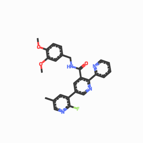 COc1ccc(CNC(=O)c2cc(-c3cc(C)cnc3F)cnc2-c2ccccn2)cc1OC